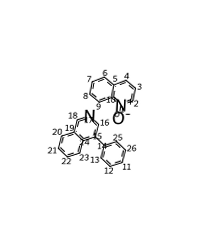 [O-][n+]1cccc2ccccc21.c1ccc(-c2cncc3ccccc23)cc1